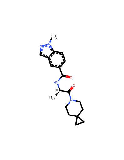 C[C@@H](NC(=O)c1ccc2c(cnn2C)c1)C(=O)N1CCC2(CC1)CC2